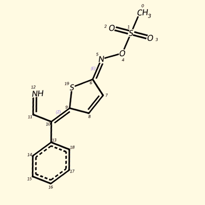 CS(=O)(=O)O/N=C1C=C/C(=C(/C=N)c2ccccc2)S\1